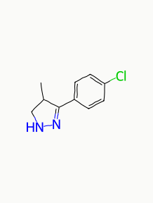 CC1CNN=C1c1ccc(Cl)cc1